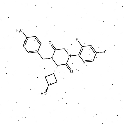 O=C1C([C@H]2C[C@H](O)C2)N(Cc2ccc(C(F)(F)F)cc2)C(=O)CN1c1ncc(Cl)cc1F